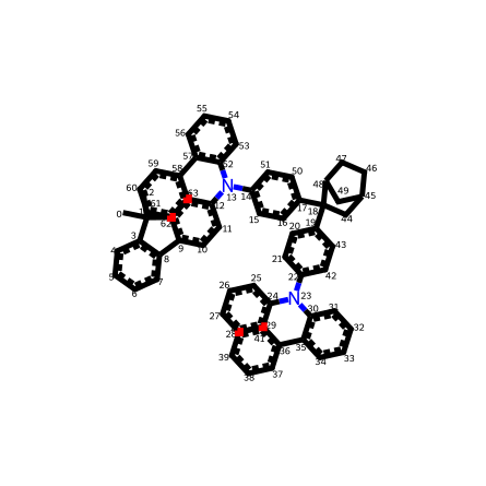 CC1(C)c2ccccc2-c2ccc(N(c3ccc(C4(c5ccc(N(c6ccccc6)c6ccccc6-c6ccccc6)cc5)CC5CCC4C5)cc3)c3ccccc3-c3ccccc3)cc21